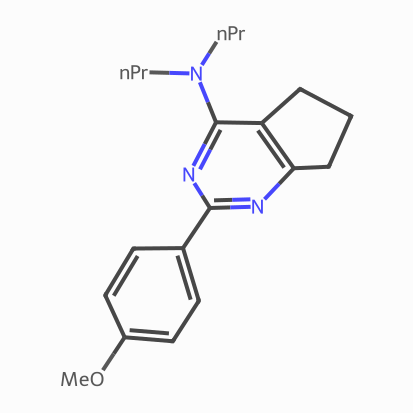 CCCN(CCC)c1nc(-c2ccc(OC)cc2)nc2c1CCC2